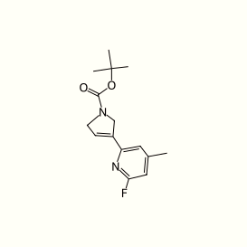 Cc1cc(F)nc(C2=CCN(C(=O)OC(C)(C)C)C2)c1